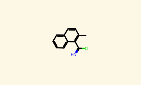 Cc1ccc2ccccc2c1C(=N)Cl